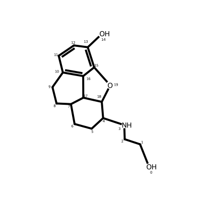 OCCNC1CCC2CCc3ccc(O)c4c3C2C1O4